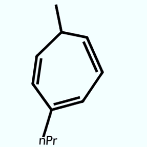 CCCC1=CC=CC(C)C=C1